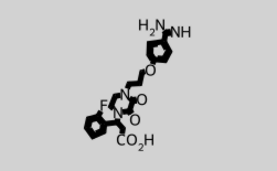 N=C(N)c1ccc(OCCCN2CCN(C(CC(=O)O)c3ccccc3F)C(=O)C2=O)cc1